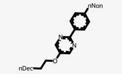 CCCCCCCCCCCCOc1cnc(-c2ccc(CCCCCCCCC)cc2)nc1